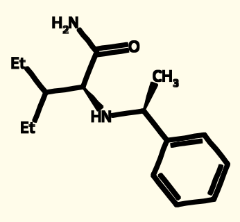 CCC(CC)[C@H](N[C@@H](C)c1ccccc1)C(N)=O